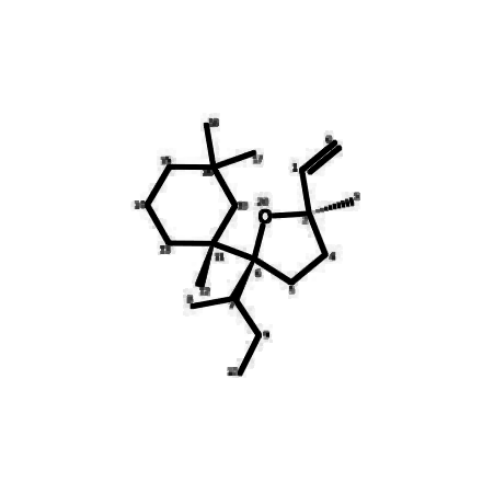 C=C[C@@]1(C)CC[C@](C(C)CC)([C@]2(C)CCCC(C)(C)C2)O1